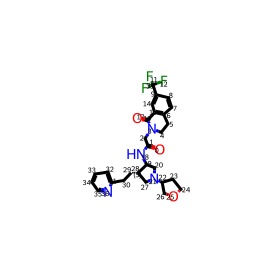 O=C(CN1CCc2ccc(C(F)(F)F)cc2C1=O)NC1CN(C2CCOC2)C[C@@H]1CCc1ccccn1